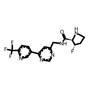 O=C(NCc1cc(-c2ccc(C(F)(F)F)nc2)ncn1)[C@H]1NCC[C@@H]1F